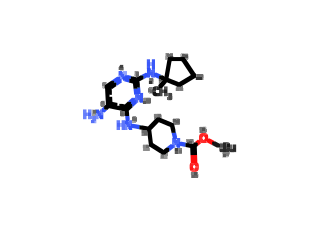 CC1(Nc2ncc(N)c(NC3CCN(C(=O)OC(C)(C)C)CC3)n2)CCCC1